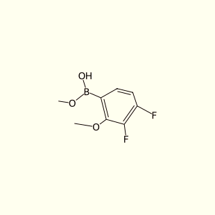 COB(O)c1ccc(F)c(F)c1OC